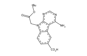 CC(C)(C)OC(=O)Cn1c2ccc(C(=O)O)cc2c2c(N)ncnc21